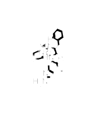 COC(=O)[C@H](Cc1csc(N)n1)NC(=O)[C@H](Cc1ccccc1)NS(=O)(=O)N1CCOCC1